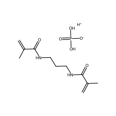 C=C(C)C(=O)NCCCNC(=O)C(=C)C.O=P([O-])(O)O.[H+]